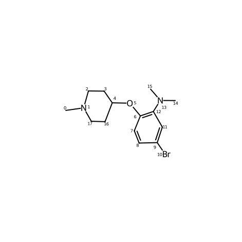 CN1CCC(Oc2ccc(Br)cc2N(C)C)CC1